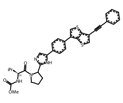 COC(=O)N[C@H](C(=O)N1CCCC1c1ncc(-c2ccc(-c3csc4c(C#Cc5ccccc5)csc34)cc2)[nH]1)C(C)C